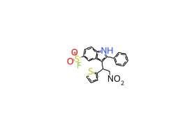 O=[N+]([O-])CC(c1cccs1)c1c(-c2ccccc2)[nH]c2ccc(S(=O)(=O)F)cc12